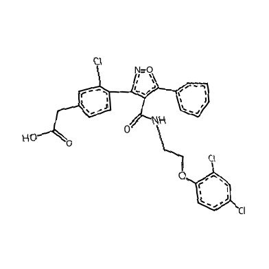 O=C(O)Cc1ccc(-c2noc(-c3ccccc3)c2C(=O)NCCOc2ccc(Cl)cc2Cl)c(Cl)c1